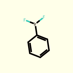 [F][Ir]([F])[c]1ccccc1